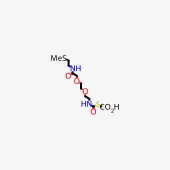 CSCCNC(=O)COCCOCCNC(=O)SC(=O)O